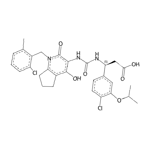 Cc1cccc(Cl)c1Cn1c2c(c(O)c(NC(=O)N[C@@H](CC(=O)O)c3ccc(Cl)c(OC(C)C)c3)c1=O)CCC2